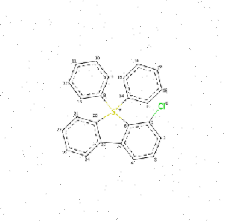 Clc1cccc2c1S(c1ccccc1)(c1ccccc1)c1ccccc1-2